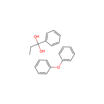 CCC(O)(O)c1ccccc1.c1ccc(Oc2ccccc2)cc1